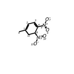 CC1=CC=C([N+](=O)[O-])C([N+](=O)[O-])C1